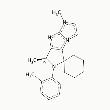 Cc1ccccc1N1[C@@H](C)c2nc3n(C)ccn3c2C12CCCCC2